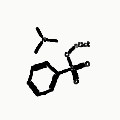 CCCCCCCCOS(=O)(=O)c1ccccc1.CN(C)C